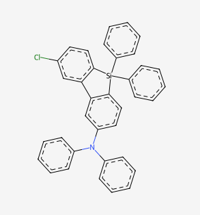 Clc1ccc2c(c1)-c1cc(N(c3ccccc3)c3ccccc3)ccc1[Si]2(c1ccccc1)c1ccccc1